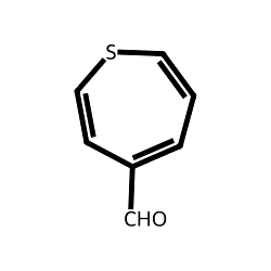 O=CC1=CC=CSC=C1